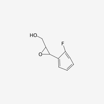 OCC1OC1c1ccccc1F